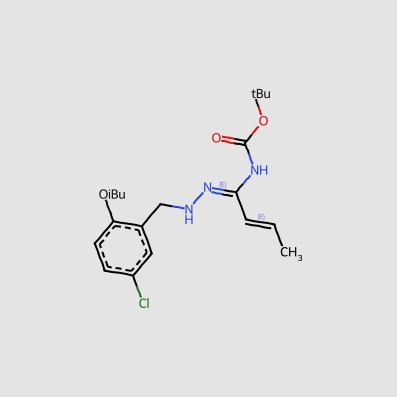 C/C=C/C(=N\NCc1cc(Cl)ccc1OCC(C)C)NC(=O)OC(C)(C)C